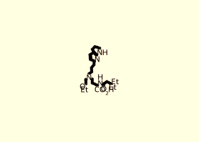 CCOCCN(CCCCc1ccc2c(n1)NCCC2)CCC(NC(=O)CC(CC)CC)C(=O)O